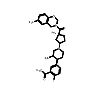 COC(=O)c1cc(C2CCN([C@@H]3CC[C@@](C(=O)N4COc5ccc(C(F)(F)F)cc5C4)(C(C)C)C3)CC2C)ccc1F